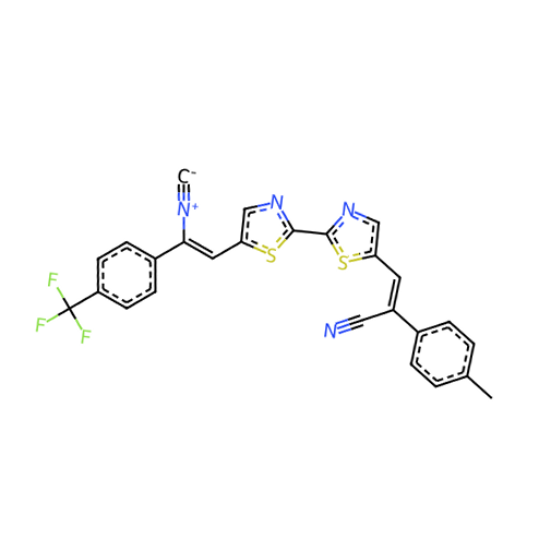 [C-]#[N+]/C(=C\c1cnc(-c2ncc(/C=C(\C#N)c3ccc(C)cc3)s2)s1)c1ccc(C(F)(F)F)cc1